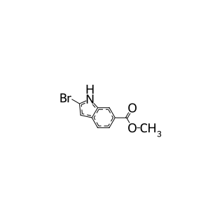 COC(=O)c1ccc2cc(Br)[nH]c2c1